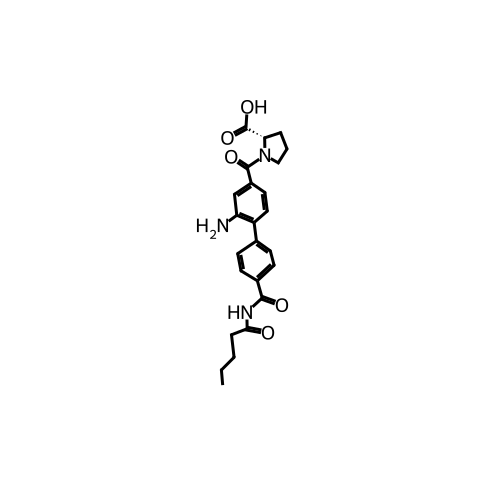 CCCCC(=O)NC(=O)c1ccc(-c2ccc(C(=O)N3CCC[C@H]3C(=O)O)cc2N)cc1